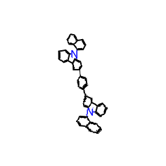 c1ccc2c(-n3c4ccccc4c4cc(-c5ccc(-c6ccc7c(c6)c6ccccc6n7-c6cccc7ccccc67)cc5)ccc43)cccc2c1